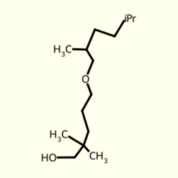 CC(C)CCC(C)COCCCC(C)(C)CO